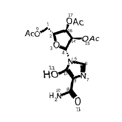 CC(=O)OC[C@H]1O[C@@H](n2cnc(C(N)=O)c2O)[C@H](OC(C)=O)[C@@H]1OC(C)=O